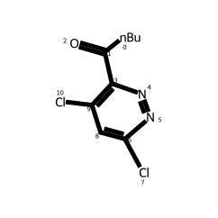 CCCCC(=O)c1nnc(Cl)cc1Cl